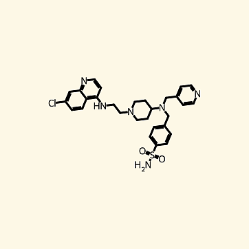 NS(=O)(=O)c1ccc(CN(Cc2ccncc2)C2CCN(CCNc3ccnc4cc(Cl)ccc34)CC2)cc1